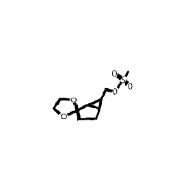 CS(=O)(=O)OCC1C2CCC3(OCCO3)C21